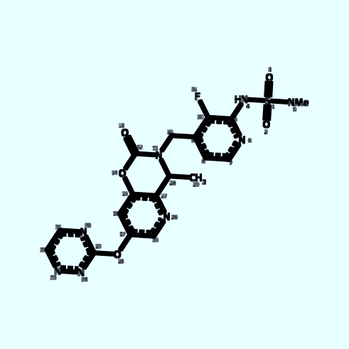 CNS(=O)(=O)Nc1nccc(CN2C(=O)Oc3cc(Oc4nccnn4)cnc3C2C)c1F